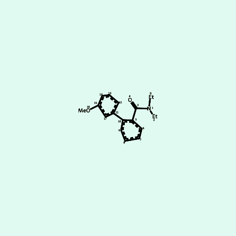 CCN(CC)C(=O)c1ccccc1-c1cccc(OC)c1